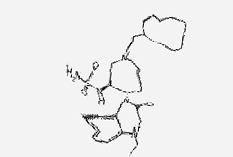 CCn1c(=O)n([C@H]2CCN(CC3CCCCCCC3)C[C@@H]2NS(N)(=O)=O)c2ccccc21